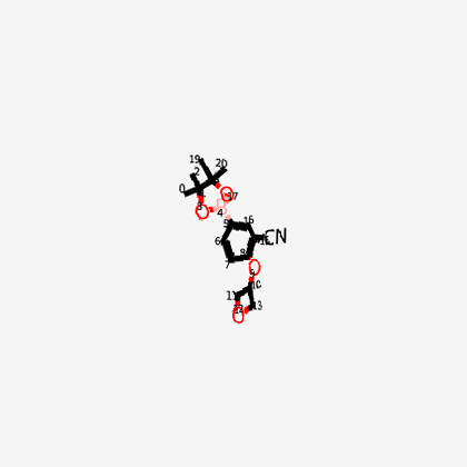 CC1(C)OB(c2ccc(OC3COC3)c(C#N)c2)OC1(C)C